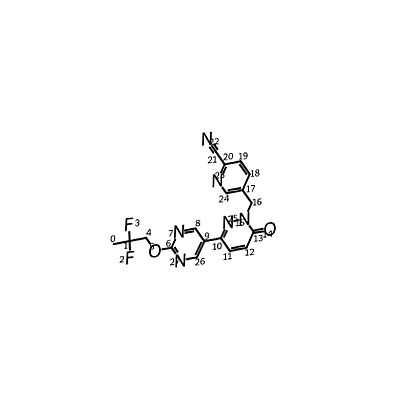 CC(F)(F)COc1ncc(-c2ccc(=O)n(Cc3ccc(C#N)nc3)n2)cn1